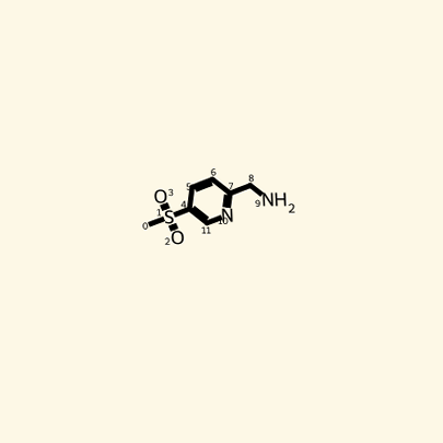 CS(=O)(=O)c1ccc(CN)nc1